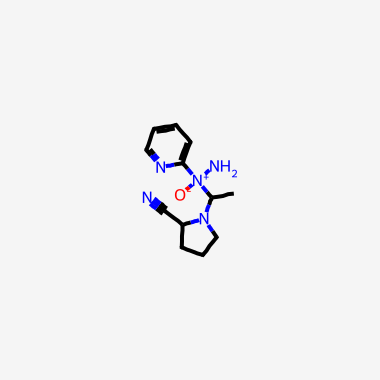 CC(N1CCCC1C#N)[N+](N)([O-])c1ccccn1